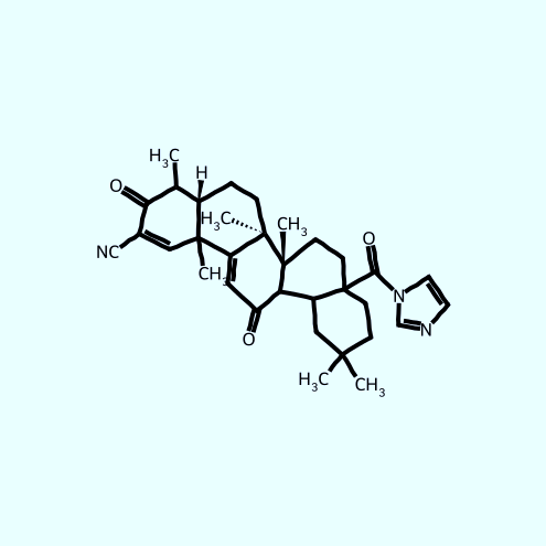 CC1C(=O)C(C#N)=CC2(C)C3=CC(=O)C4C5CC(C)(C)CCC5(C(=O)n5ccnc5)CC[C@@]4(C)[C@]3(C)CC[C@@H]12